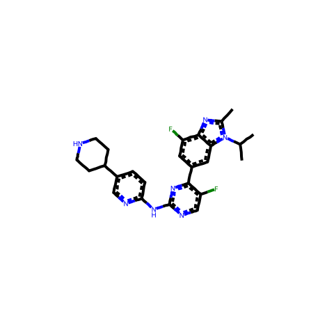 Cc1nc2c(F)cc(-c3nc(Nc4ccc(C5CCNCC5)cn4)ncc3F)cc2n1C(C)C